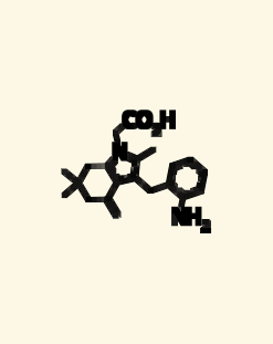 C=C1CC(C)(C)Cc2c1c(Cc1ccccc1N)c(C)n2CC(=O)O